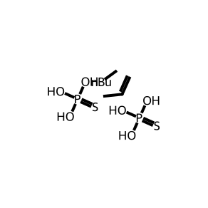 C=CC.CCCCC.OP(O)(O)=S.OP(O)(O)=S